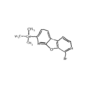 [CH3][Ge]([CH3])([CH3])[c]1ccc2c(n1)oc1c(Br)nccc12